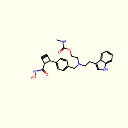 CNC(=O)OCCN(CCc1c[nH]c2ccccc12)Cc1ccc(C2C#CC2C(=O)NO)cc1